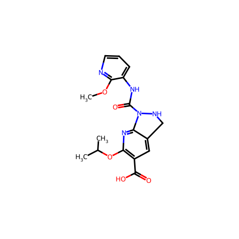 COc1ncccc1NC(=O)N1NCc2cc(C(=O)O)c(OC(C)C)nc21